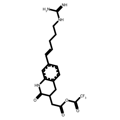 N=C(N)NCCCC=Cc1ccc2c(c1)NC(=O)C(CC(=O)OC(=O)C(F)(F)F)C2